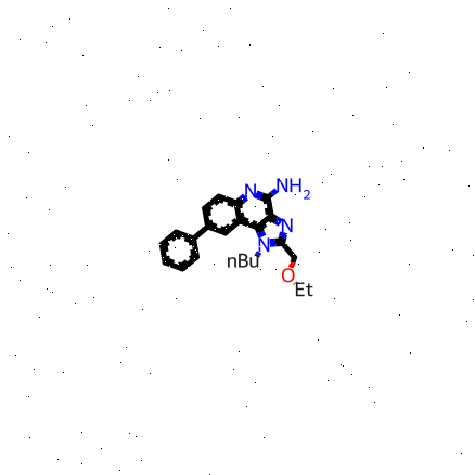 CCCCn1c(COCC)nc2c(N)nc3ccc(-c4ccccc4)cc3c21